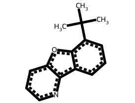 CC(C)(C)c1cccc2c1oc1cccnc12